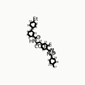 CCc1ccc(-c2cccc(C(=O)NC(Cc3ccc(-c4noc(-c5ccc(C)cc5)n4)c(F)c3)C(=O)O)c2)cc1